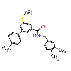 CCCSc1cc(C(=O)NCc2ccc(C)c(SC)c2)cc(-c2ccc(C)cc2)c1